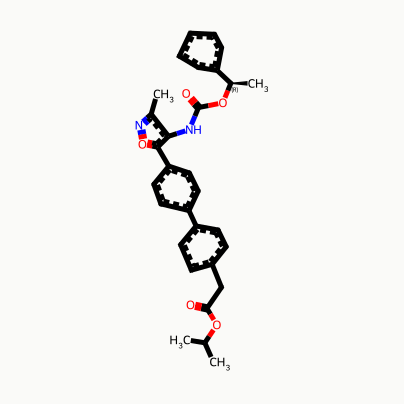 Cc1noc(-c2ccc(-c3ccc(CC(=O)OC(C)C)cc3)cc2)c1NC(=O)O[C@H](C)c1ccccc1